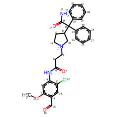 COc1cc(NC(=O)CCN2CCC(C(C(N)=O)(c3ccccc3)c3ccccc3)C2)c(Cl)cc1C=O